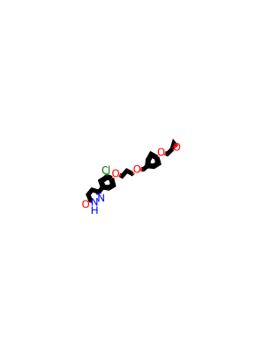 O=C1CCC(c2ccc(OCCCOCc3ccc(OCC4CO4)cc3)c(Cl)c2)=NN1